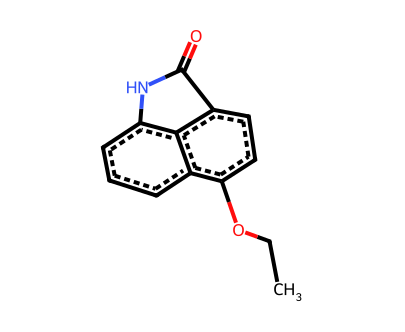 CCOc1ccc2c3c(cccc13)NC2=O